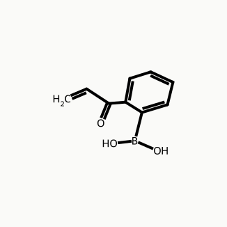 C=CC(=O)c1ccccc1B(O)O